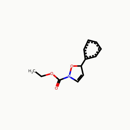 CCOC(=O)N1C=CC(c2ccccc2)O1